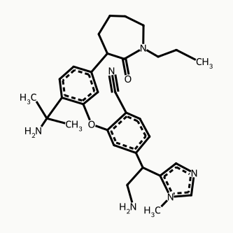 CCCN1CCCCC(c2ccc(C(C)(C)N)c(Oc3cc(C(CN)c4cncn4C)ccc3C#N)c2)C1=O